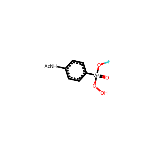 CC(=O)Nc1ccc([As](=O)(OO)OF)cc1